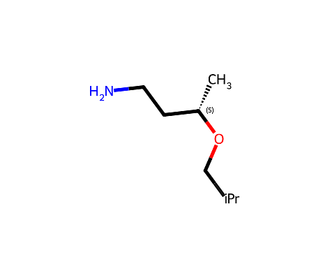 CC(C)CO[C@@H](C)CCN